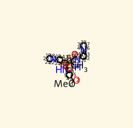 COC(=O)c1ccc(NS(=O)(=O)c2c(-c3ccc(N4CCCCC4)cc3)sc(C(=O)Nc3cccc(N4CCCCC4)c3)c2C)cc1